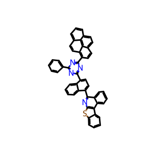 c1ccc(-c2nc(-c3ccc(-c4nc5sc6ccccc6c5c5ccccc45)c4ccccc34)nc(-c3ccc4ccc5cccc6ccc3c4c56)n2)cc1